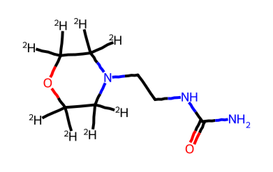 [2H]C1([2H])OC([2H])([2H])C([2H])([2H])N(CCNC(N)=O)C1([2H])[2H]